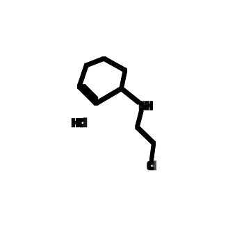 Cl.ClCCNC1C=CCCC1